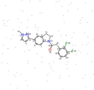 Cn1ccc(-c2ccc3c(c2)CCN3C(=O)Cc2cccc(F)c2F)n1